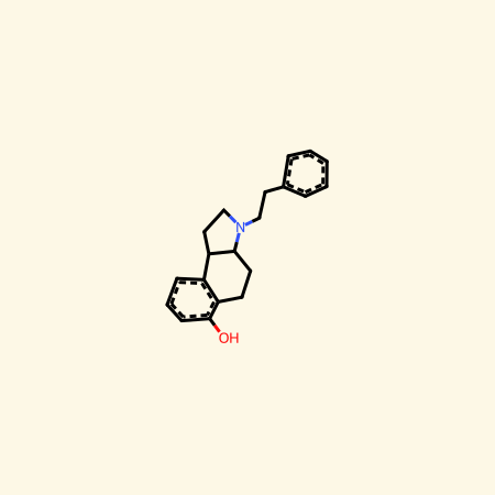 Oc1cccc2c1CCC1C2CCN1CCc1ccccc1